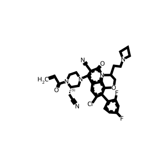 C=CC(=O)N1CCN(c2c(C#N)c(=O)n3c4c(c(-c5ccc(F)cc5F)c(Cl)cc24)OCC3CCN2CCC2)C[C@@H]1CC#N